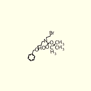 CC(C)(C)OC(=O)N(CCBr)C[C@H](O)COCc1ccccc1